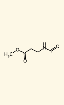 COC(=O)CCN[C]=O